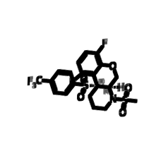 CS(=O)(=O)N1CCC[C@@]2(S(=O)(=O)c3ccc(C(F)(F)F)cc3)c3c(F)ccc(F)c3OC[C@@H]12